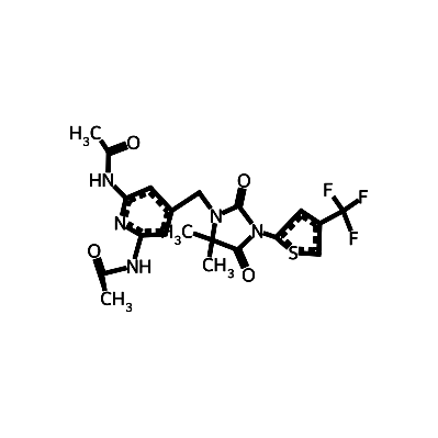 CC(=O)Nc1cc(CN2C(=O)N(c3cc(C(F)(F)F)cs3)C(=O)C2(C)C)cc(NC(C)=O)n1